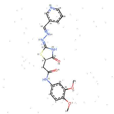 COc1ccc(NC(=O)CC2S/C(=N/N=C/c3cccnc3)NC2=O)cc1OC